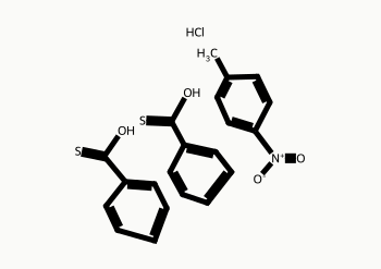 Cc1ccc([N+](=O)[O-])cc1.Cl.OC(=S)c1ccccc1.OC(=S)c1ccccc1